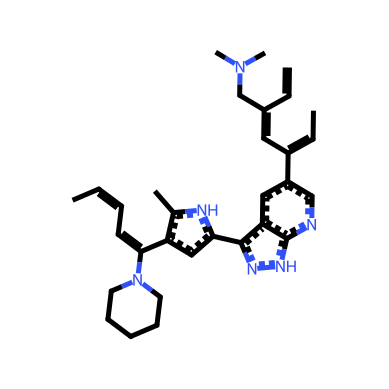 C=C/C(=C\C(=C/C)c1cnc2[nH]nc(-c3cc(/C(=C\C=C/C)N4CCCCC4)c(C)[nH]3)c2c1)CN(C)C